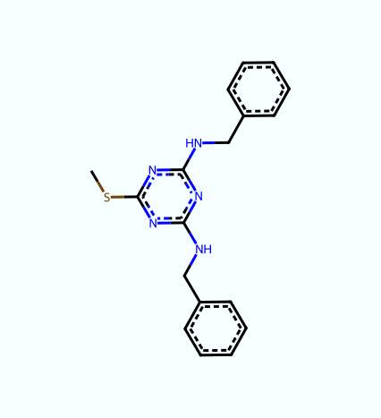 CSc1nc(NCc2ccccc2)nc(NCc2ccccc2)n1